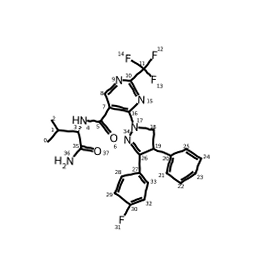 CC(C)[C@H](NC(=O)c1cnc(C(F)(F)F)nc1N1CC(c2ccccc2)C(c2ccc(F)cc2)=N1)C(N)=O